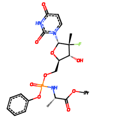 CC(C)OC(=O)[C@H](C)NP(=O)(OC[C@H]1O[C@H](n2ccc(=O)[nH]c2=O)[C@](C)(F)[C@@H]1O)Oc1ccccc1